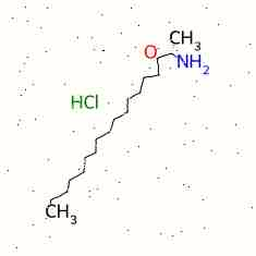 CCCCCCCCCCCCCCCC(=O)[C@H](C)N.Cl